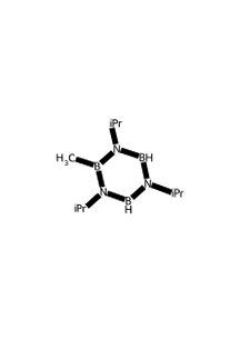 CB1N(C(C)C)BN(C(C)C)BN1C(C)C